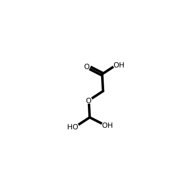 O=C(O)COC(O)O